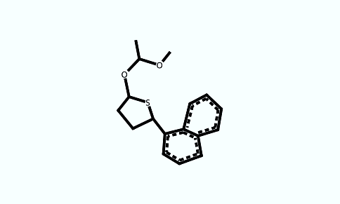 COC(C)OC1CCC(c2cccc3ccccc23)S1